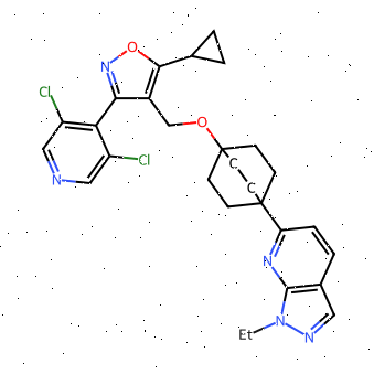 CCn1ncc2ccc(C34CCC(OCc5c(-c6c(Cl)cncc6Cl)noc5C5CC5)(CC3)CC4)nc21